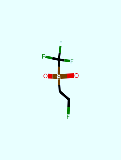 O=S(=O)(CCF)C(F)(F)F